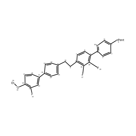 CCCCCc1ccc(-c2ccc(CCc3ccc(-c4ccc(OCC)c(F)c4)cc3)c(F)c2F)nc1